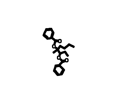 CCCCC(C)(OC(=O)c1ccccc1)C(CC)OC(=O)c1ccccc1